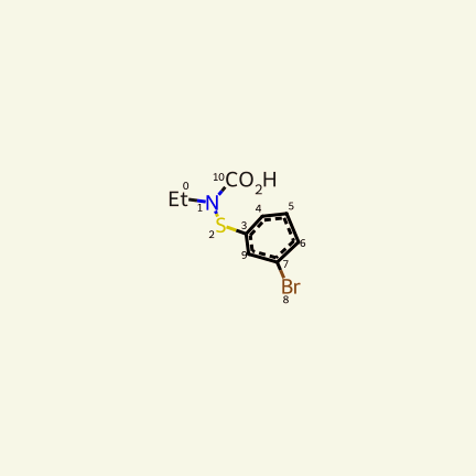 CCN(Sc1cccc(Br)c1)C(=O)O